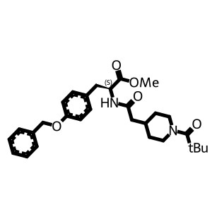 COC(=O)[C@H](Cc1ccc(OCc2ccccc2)cc1)NC(=O)CC1CCN(C(=O)C(C)(C)C)CC1